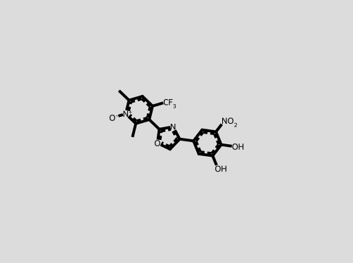 Cc1cc(C(F)(F)F)c(-c2nc(-c3cc(O)c(O)c([N+](=O)[O-])c3)co2)c(C)[n+]1[O-]